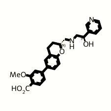 COc1cc(-c2ccc3c(c2)CC[C@H](CNC[C@H](O)c2cccnc2)O3)ccc1C(=O)O